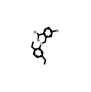 CCc1ccc(CC)c(OCc2cc(Br)ccc2C(Br)Br)c1